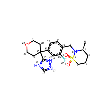 C[C@H]1CCCS(=O)(=O)N1Cc1ccc(C2(c3nnc[nH]3)CCOCC2)cc1F